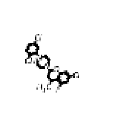 Cc1ccc(Cl)cc1N1CCN(C(=O)CC(C)c2ccc(Cl)cc2F)CC1